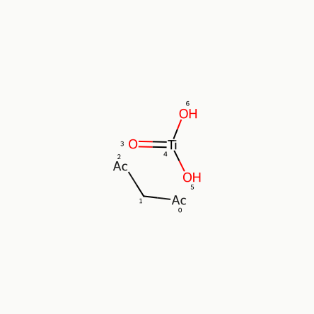 CC(=O)CC(C)=O.[O]=[Ti]([OH])[OH]